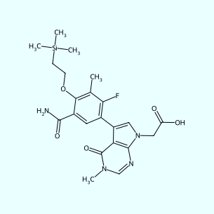 Cc1c(F)c(-c2cn(CC(=O)O)c3ncn(C)c(=O)c23)cc(C(N)=O)c1OCC[Si](C)(C)C